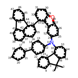 CC1(C)c2ccccc2-c2c(N(c3ccc(-c4ccccc4)cc3)c3ccc4oc5cccc(-c6ccc7cccc8c7c6-c6ccccc6-8)c5c4c3)cccc21